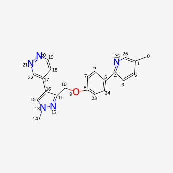 Cc1ccc(-c2ccc(OCc3nn(C)cc3-c3ccnnc3)cc2)nc1